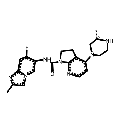 Cc1cn2cc(NC(=O)N3CCc4c(N5CCN[C@@H](C)C5)ccnc43)c(F)cc2n1